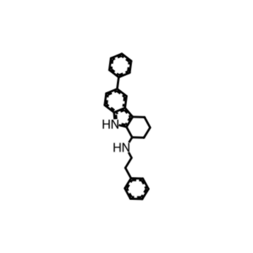 c1ccc(CCNC2CCCc3c2[nH]c2ccc(-c4ccccc4)cc32)cc1